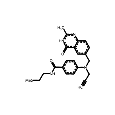 C#CCN(Cc1ccc2nc(C)[nH]c(=O)c2c1)c1ccc(C(=O)NCCSC)cc1